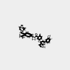 Cc1ccc(Oc2cc(-c3cccc(Cl)c3)nc3[nH]ccc23)cc1C(=O)Nc1ccc(CN2CCN(C)CC2)c(C(F)(F)F)c1